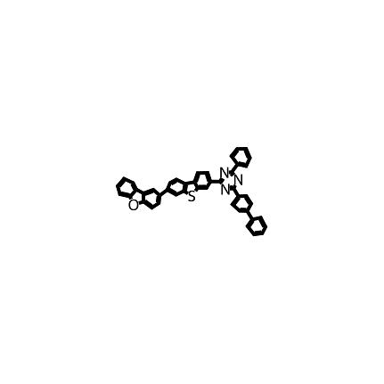 c1ccc(-c2ccc(-c3nc(-c4ccccc4)nc(-c4ccc5c(c4)sc4cc(-c6ccc7oc8ccccc8c7c6)ccc45)n3)cc2)cc1